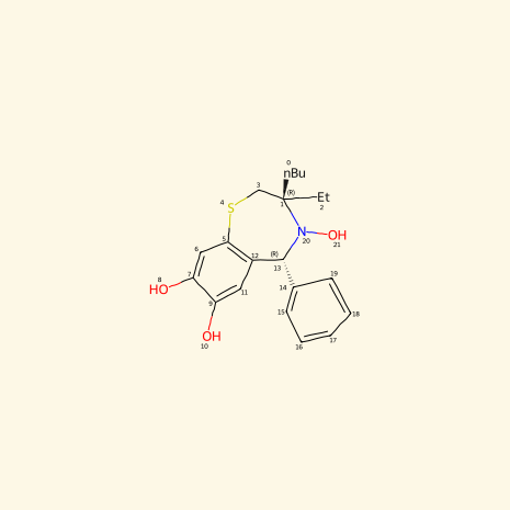 CCCC[C@]1(CC)CSc2cc(O)c(O)cc2[C@@H](c2ccccc2)N1O